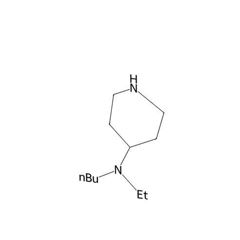 CCCCN(CC)C1CCNCC1